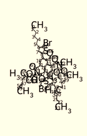 CCCCCCc1cc(-c2cc3c4c(c(-c5cc(CCCCCC)c(Br)s5)cc(C(=O)N(C)C(=O)OC(C)(C)CCCC)c4c2C=O)C(=O)N(C(=O)OC(C)(C)CCCC)C3=O)sc1Br